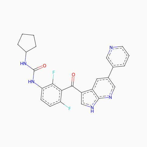 O=C(Nc1ccc(F)c(C(=O)c2c[nH]c3ncc(-c4cccnc4)cc23)c1F)NC1CCCC1